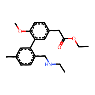 CCNCc1ccc(C)cc1-c1cc(CC(=O)OCC)ccc1OC